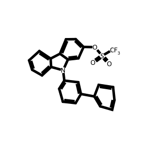 O=S(=O)(Oc1ccc2c3ccccc3n(-c3cccc(-c4ccccc4)c3)c2c1)C(F)(F)F